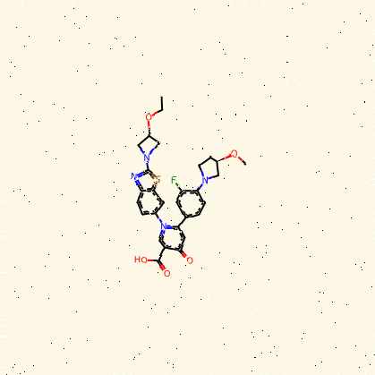 CCOC1CN(c2nc3ccc(-n4cc(C(=O)O)c(=O)cc4-c4ccc(N5CC[C@@H](OC)C5)c(F)c4)cc3s2)C1